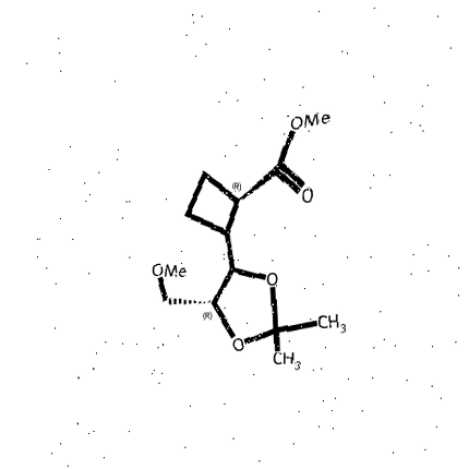 COC[C@H]1OC(C)(C)OC1C1CC[C@H]1C(=O)OC